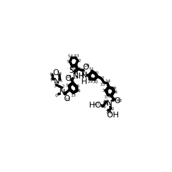 CN(CCN1CCOCC1)C(=O)c1cccc(C(=O)Nc2sc3c(c2C(=O)Nc2ccc(CCCc4ccc(C(=O)N(CCO)CCO)cc4)cc2)CCCC3)c1